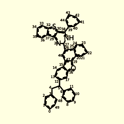 c1ccc(CC(c2ccccc2)c2ccc3c(c2)oc2c4ccccc4c(C4N=c5c(sc6ccccc56)=C(c5ccccc5)N4)cc32)cc1